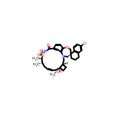 C[C@@H]1[C@@H](C)CC=C[C@](C)(O)[C@@H]2CC[C@H]2CN2C[C@@]3(CCCc4cc(Cl)ccc43)COc3ccc(cc32)C(=O)NS1(=O)=O